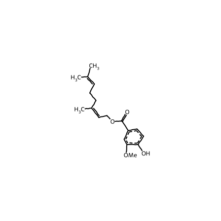 COc1cc(C(=O)OCC=C(C)CCC=C(C)C)ccc1O